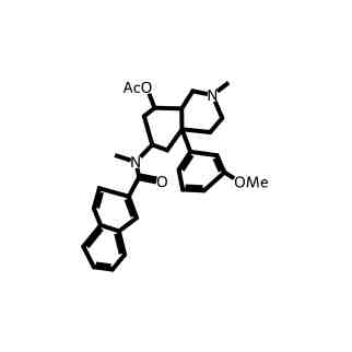 COc1cccc(C23CCN(C)CC2C(OC(C)=O)CC(N(C)C(=O)c2ccc4ccccc4c2)C3)c1